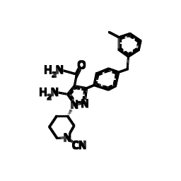 Cc1cccc(Cc2ccc(-c3nn([C@H]4CCCN(C#N)C4)c(N)c3C(N)=O)cc2)c1